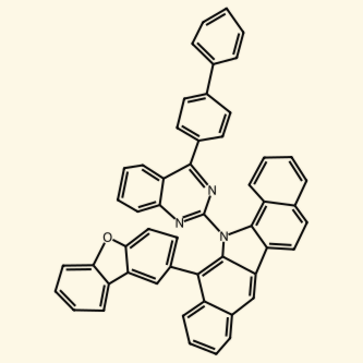 c1ccc(-c2ccc(-c3nc(-n4c5c(-c6ccc7oc8ccccc8c7c6)c6ccccc6cc5c5ccc6ccccc6c54)nc4ccccc34)cc2)cc1